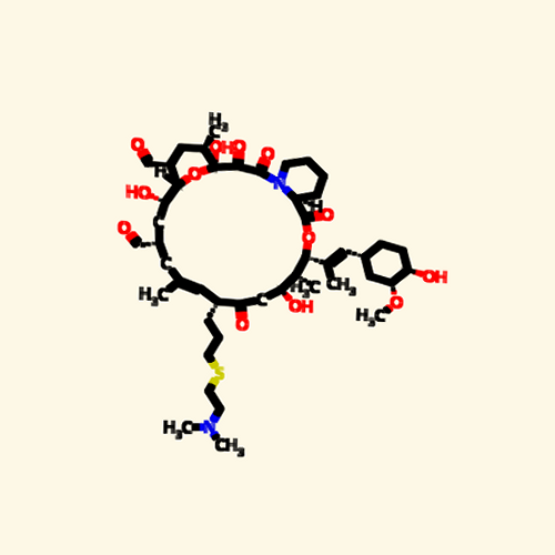 CO[C@@H]1C[C@H](/C=C(\C)[C@H]2OC(=O)[C@@H]3CCCCN3C(=O)C(=O)[C@]3(O)O[C@H]([C@@H](O)C[C@@H](C=O)C/C(C)=C/[C@@H](CCCSCCN(C)C)C(=O)C[C@H](O)[C@H]2C)[C@@H](C=O)C[C@H]3C)CC[C@H]1O